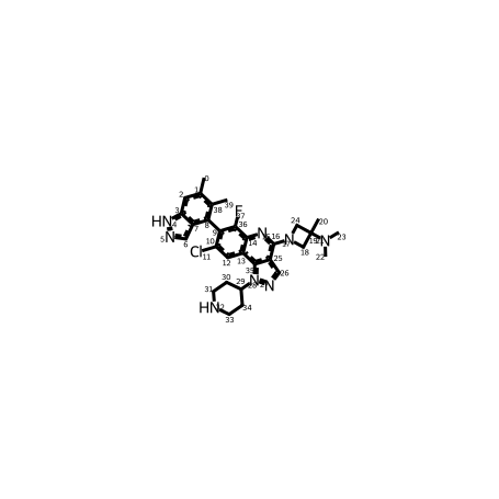 Cc1cc2[nH]ncc2c(-c2c(Cl)cc3c(nc(N4CC(C)(N(C)C)C4)c4cnn(C5CCNCC5)c43)c2F)c1C